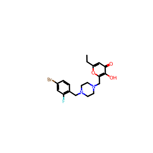 CCc1cc(=O)c(O)c(CN2CCN(Cc3ccc(Br)cc3F)CC2)o1